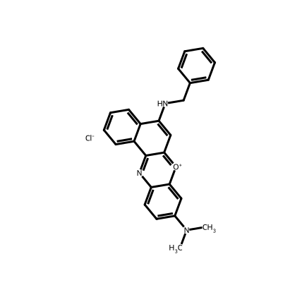 CN(C)c1ccc2nc3c(cc(NCc4ccccc4)c4ccccc43)[o+]c2c1.[Cl-]